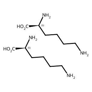 NCCCC[C@H](N)C(=O)O.NCCCC[C@H](N)C(=O)O